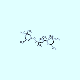 CC1CC(C)(C)OB(OOC(C)(C)CC(C)B2OC(C)CC(C)(C)O2)O1